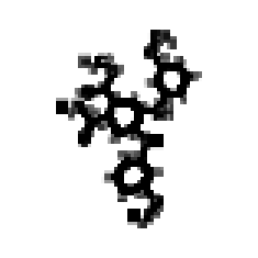 COC(=O)c1cc(Nc2cccc(OC)c2)c(Nc2cccc(OC)c2)cc1C(N)=O